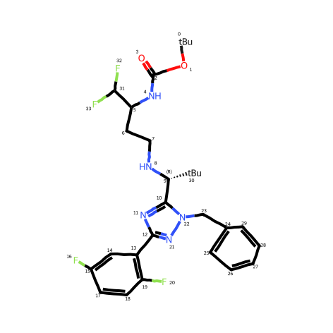 CC(C)(C)OC(=O)NC(CCN[C@@H](c1nc(-c2cc(F)ccc2F)nn1Cc1ccccc1)C(C)(C)C)C(F)F